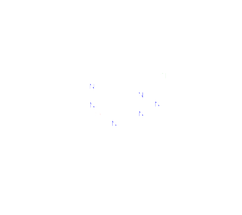 Cc1ccc(C(=O)N2CCC[C@@H](C)[C@H]2CNc2ncc(Cl)cn2)c(-c2ncccn2)c1